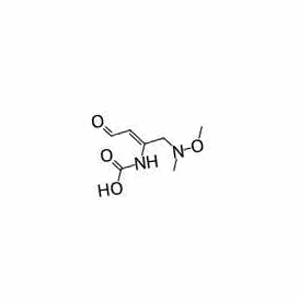 CON(C)CC(=CC=O)NC(=O)O